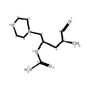 C[C@H](C=O)CC(CN1CCOCC1)OC(N)=O